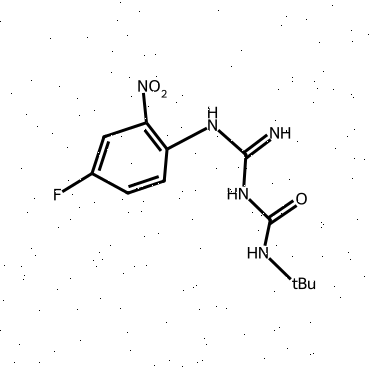 CC(C)(C)NC(=O)NC(=N)Nc1ccc(F)cc1[N+](=O)[O-]